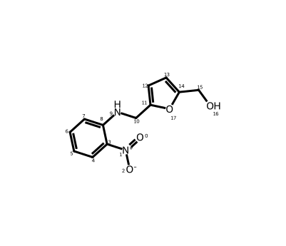 O=[N+]([O-])c1ccccc1NCc1ccc(CO)o1